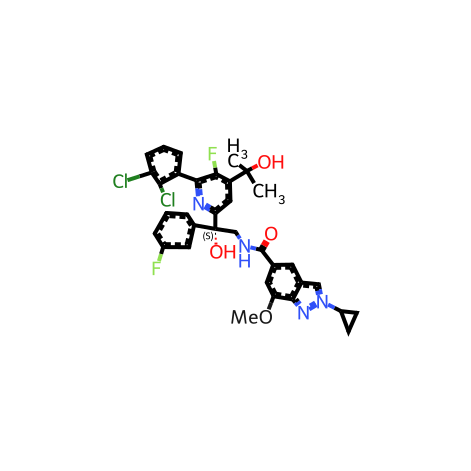 COc1cc(C(=O)NC[C@@](O)(c2cccc(F)c2)c2cc(C(C)(C)O)c(F)c(-c3cccc(Cl)c3Cl)n2)cc2cn(C3CC3)nc12